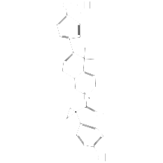 CC1(C)C(c2ccc(C(=O)O)cc2)=CC[C@]2(C)CN(C(=O)C3(c4ccc(Cl)cc4)CC3)CC=C12